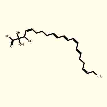 CC/C=C\CC/C=C/C=C\C=C\C=C\CCC/C=C\C(O)C(O)(O)C(=O)O